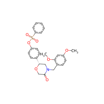 COc1ccc(CN2C[C@@H](c3ccc(OS(=O)(=O)c4ccccc4)cc3)OCC2=O)c(OC)c1